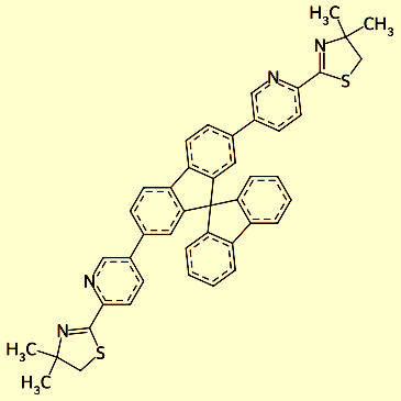 CC1(C)CSC(c2ccc(-c3ccc4c(c3)C3(c5ccccc5-c5ccccc53)c3cc(-c5ccc(C6=NC(C)(C)CS6)nc5)ccc3-4)cn2)=N1